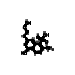 Nc1ccc2c(O)cc(SOOO)cc2c1S(=O)(=O)O